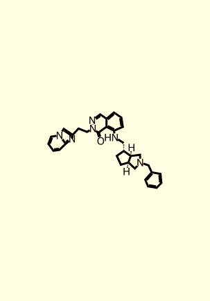 O=c1c2c(NC[C@H]3CC[C@@H]4CN(Cc5ccccc5)C[C@H]34)cccc2cnn1CCc1cn2ccccc2n1